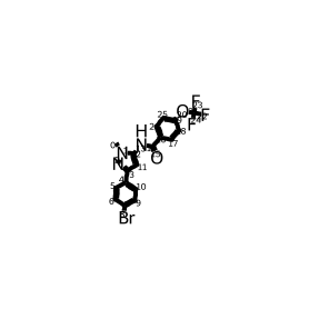 Cn1nc(-c2ccc(Br)cc2)cc1NC(=O)c1ccc(OC(F)(F)F)cc1